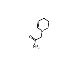 NC(=O)CN1C=CCCC1